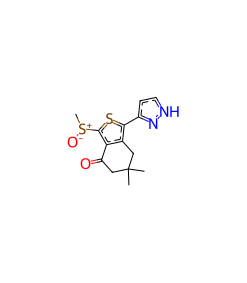 C[S+]([O-])c1sc(-c2cc[nH]n2)c2c1C(=O)CC(C)(C)C2